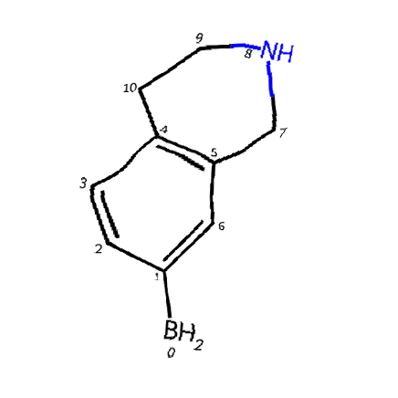 Bc1ccc2c(c1)CNCC2